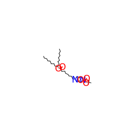 CCCCCCCCC(CCCCCCCC)OC(=O)CCCCCCCN1CC2CN(C(=O)OC(C)(C)C)CC(C1)O2